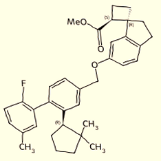 COC(=O)[C@H]1CC[C@@]12CCc1ccc(OCc3ccc(-c4cc(C)ccc4F)c([C@@H]4CCCC4(C)C)c3)cc12